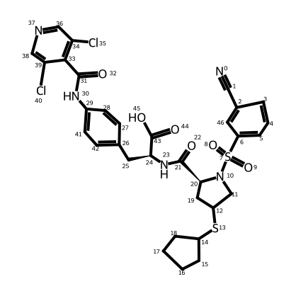 N#Cc1cccc(S(=O)(=O)N2CC(SC3CCCC3)C[C@H]2C(=O)N[C@@H](Cc2ccc(NC(=O)c3c(Cl)cncc3Cl)cc2)C(=O)O)c1